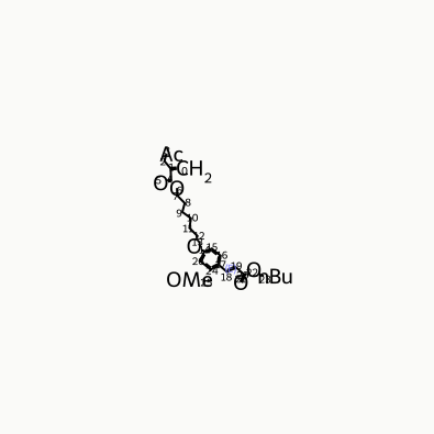 C=C(CC(C)=O)C(=O)OCCCCCCOc1ccc(/C=C/C(=O)OCCCC)c(OC)c1